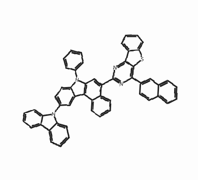 c1ccc(-n2c3ccc(-n4c5ccccc5c5ccccc54)cc3c3c4ccccc4c(-c4nc(-c5ccc6ccccc6c5)c5sc6ccccc6c5n4)cc32)cc1